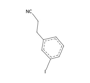 N#CCCc1cccc(I)c1